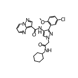 COc1ccc(Cl)cc1-c1nn(CC(=O)NC2CCCCC2)cc1NC(=O)c1cnn2cccnc12